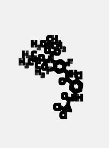 CC(C)(C)OC(=O)N(C(=O)OC(C)(C)C)c1cc(F)c(NC(=O)c2cc(NC(=O)C3CC3(Cl)Cl)ccc2Cl)cc1F